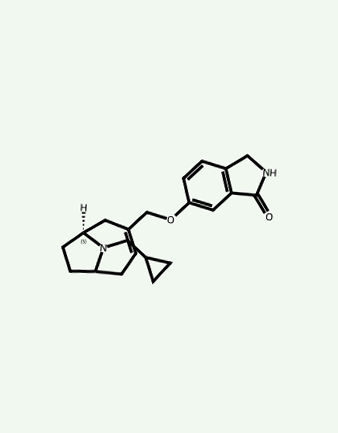 O=C1NCc2ccc(OCC3=CCC4CC[C@@H](C3)N4CC3CC3)cc21